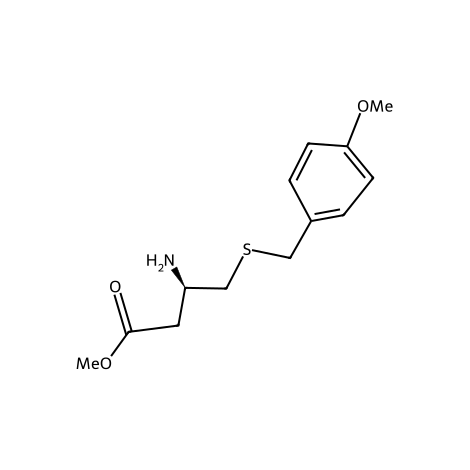 COC(=O)C[C@@H](N)CSCc1ccc(OC)cc1